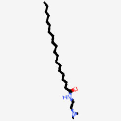 CCCCCCCCCCCCCCCCCCCC(=O)NCCN(C)C